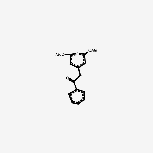 COc1cc([CH]C(=O)c2ccccc2)cc(OC)c1